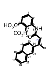 C/C(=C/C(=O)Nc1cccc(C(=O)O)c1C(=O)O)c1ccc2ccccc2c1